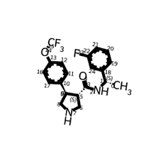 C[C@H](NC(=O)[C@@H]1CNC[C@H]1c1ccc(OC(F)(F)F)cc1)c1cccc(F)c1